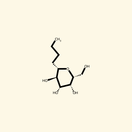 CCCC[C@@H]1O[C@H](CO)[C@H](O)[C@H](O)[C@H]1O